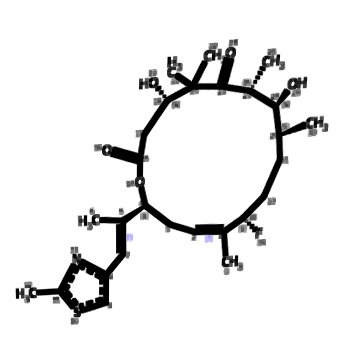 C/C1=C/C[C@@H](/C(C)=C/c2csc(C)n2)OC(=O)C[C@H](O)C(C)(C)C(=O)[C@H](C)[C@@H](O)[C@@H](C)CC[C@@H]1F